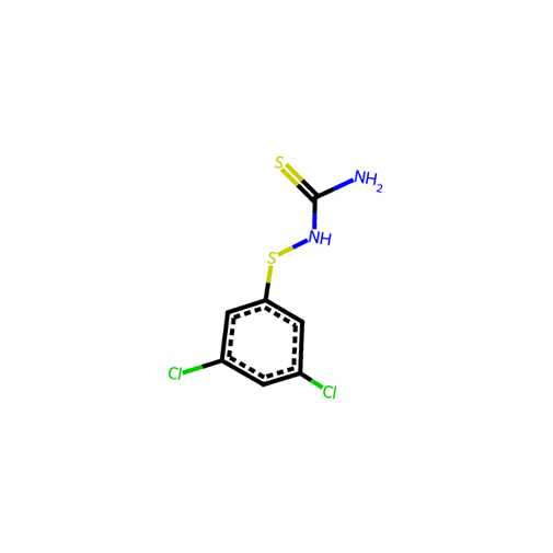 NC(=S)NSc1cc(Cl)cc(Cl)c1